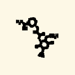 N=C(N)N1CCC[C@@H](CNC(=O)C[C@H]2C(=O)N(C3CC3)CC(=O)N2CC(=O)O)C1